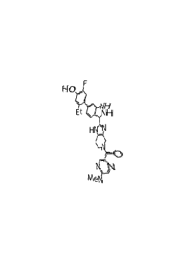 CCc1cc(O)c(F)cc1-c1ccc2c(c1)NNC2c1nc2c([nH]1)CCN(C(=O)c1cnc(NC)cn1)C2